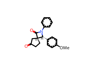 COc1ccc([C@H]2N(c3ccccc3)C(=O)[C@]23CCC(=O)C3)cc1